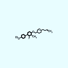 C=CCCC1CCC(COc2ccc(-c3ccc(OCC)cc3)c(F)c2C)CO1